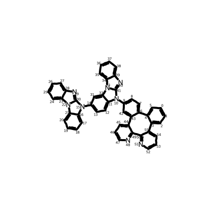 c1ccc2c(c1)-c1ccc(-n3c4ccc(-n5c6ccccc6n6c7ccccc7nc56)cc4n4c5ccccc5nc34)cc1-c1cccnc1-c1ncccc1-2